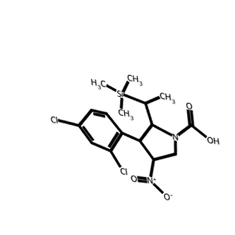 CC(C1C(c2ccc(Cl)cc2Cl)C([N+](=O)[O-])CN1C(=O)O)[Si](C)(C)C